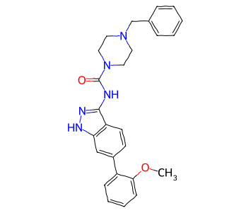 COc1ccccc1-c1ccc2c(NC(=O)N3CCN(Cc4ccccc4)CC3)n[nH]c2c1